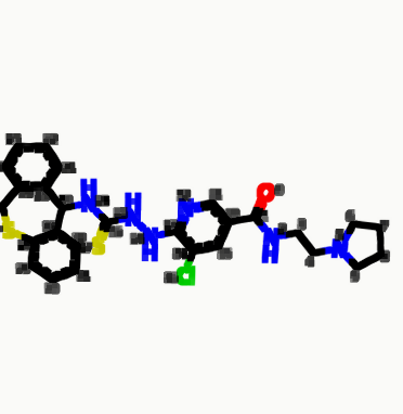 O=C(NCCN1CCCC1)c1cnc(NNC(=S)NC2c3ccccc3CSc3ccccc32)c(Cl)c1